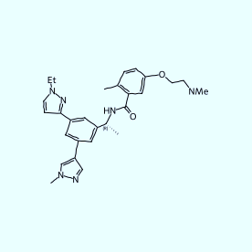 CCn1ccc(-c2cc(-c3cnn(C)c3)cc([C@@H](C)NC(=O)c3cc(OCCNC)ccc3C)c2)n1